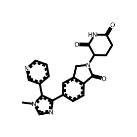 Cn1cnc(-c2ccc3c(c2)CN(C2CCC(=O)NC2=O)C3=O)c1-c1cccnc1